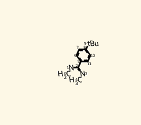 C=N/C(=N\C)c1ccc(C(C)(C)C)cc1